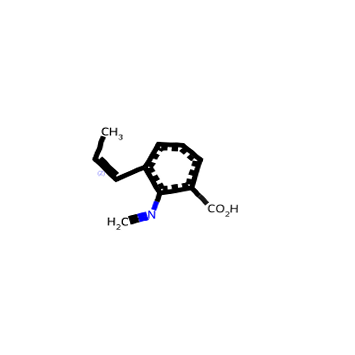 C=Nc1c(/C=C\C)cccc1C(=O)O